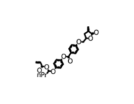 C=CC(=O)OC(CCC)Oc1ccc(OC(=O)c2ccc(OCC3CC(=C)C(=O)O3)cc2)cc1